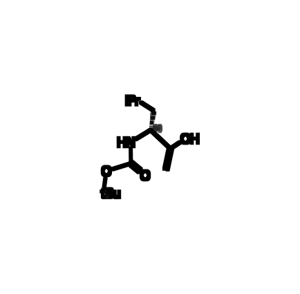 C=C(O)[C@@H](CC(C)C)NC(=O)OC(C)(C)C